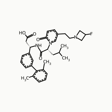 Cc1cccc(C)c1-c1cccc([C@H](CC(=O)O)NC(=O)[C@@H](CC(C)C)n2cc(CCN3CC(F)C3)ccc2=O)c1